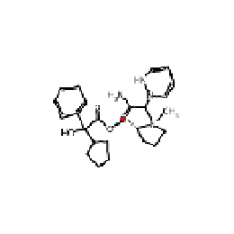 C[N+]1(C(C(N)=O)N2C=CC=CN2)CCC[C@@H]1COC(=O)C(O)(c1ccccc1)C1CCCC1